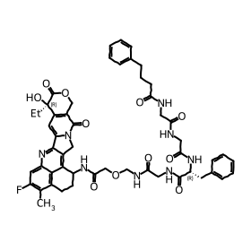 CC[C@]1(O)C(=O)OCc2c1cc1n(c2=O)Cc2c-1nc1cc(F)c(C)c3c1c2C(NC(=O)COCNC(=O)CNC(=O)[C@@H](Cc1ccccc1)NC(=O)CNC(=O)CNC(=O)CCCc1ccccc1)CC3